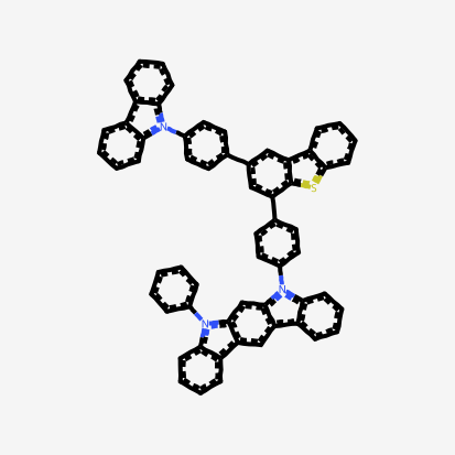 c1ccc(-n2c3ccccc3c3cc4c5ccccc5n(-c5ccc(-c6cc(-c7ccc(-n8c9ccccc9c9ccccc98)cc7)cc7c6sc6ccccc67)cc5)c4cc32)cc1